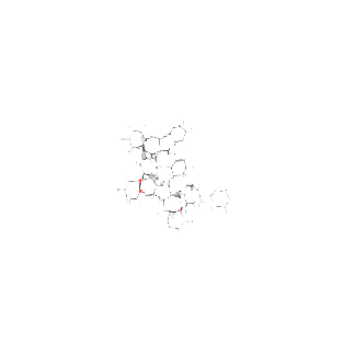 c1ccc(-c2nc(-c3ccccc3)nc(-c3ccc(-n4c5ccccc5c5ccccc54)c(-c4nc(-c5ccccc5)nc(-c5ccccc5)n4)c3-n3c4ccccc4c4ccccc43)n2)cc1